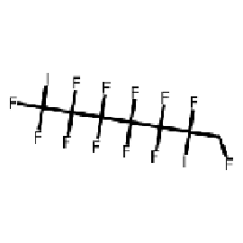 FCC(F)(I)C(F)(F)C(F)(F)C(F)(F)C(F)(F)C(F)(F)I